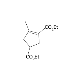 CCOC(=O)C1=C(C)CC(C(=O)OCC)C1